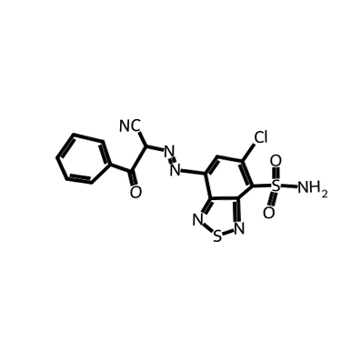 N#CC(/N=N/c1cc(Cl)c(S(N)(=O)=O)c2nsnc12)C(=O)c1ccccc1